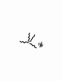 CCCCCC[P+](CCCCCC)(CCCCCC)CCCCCC.F[B-](F)(F)F